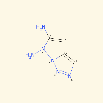 Nc1cc2cnnn2n1N